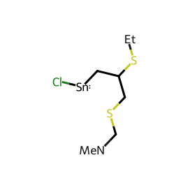 CCSC(CSCNC)[CH2][Sn][Cl]